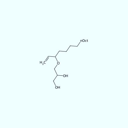 C=CC(CCCCCCCCCCCC)OCC(O)CO